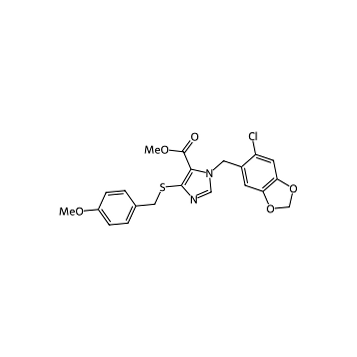 COC(=O)c1c(SCc2ccc(OC)cc2)ncn1Cc1cc2c(cc1Cl)OCO2